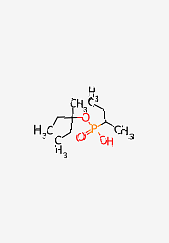 CCC(C)P(=O)(O)OC(C)(CC)CC